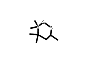 CC1CC(C)(C)S(C)(C)SS1